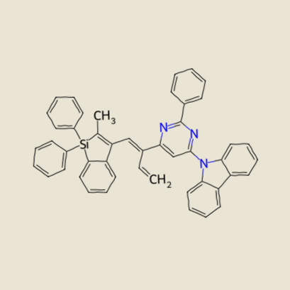 C=C/C(=C\C1=C(C)[Si](c2ccccc2)(c2ccccc2)c2ccccc21)c1cc(-n2c3ccccc3c3ccccc32)nc(-c2ccccc2)n1